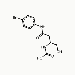 O=C(O)N[C@H](CO)CC(=O)Nc1ccc(Br)cc1